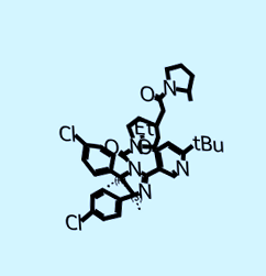 CCOc1cc(C(C)(C)C)ncc1C1=N[C@@](C)(c2ccc(Cl)cc2)[C@@](C)(c2ccc(Cl)cc2)N1C(=O)N1CCC(CC(=O)N2CCCC2C)CC1